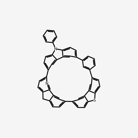 c1ccc(-n2c3ccc4cc3c3cc(ccc32)c2ccc3c(n2)c2cc(ccc2C3)c2ccc3sc5ccc(cc5c3c2)c2cccc4c2)cc1